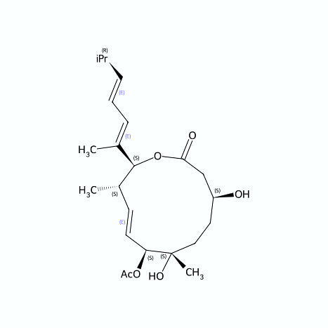 [CH2][C@H](C)/C=C/C=C(\C)[C@H]1OC(=O)C[C@@H](O)CC[C@](C)(O)[C@@H](OC(C)=O)/C=C/[C@@H]1C